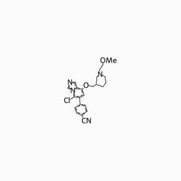 COCCN1CCCC(COc2cc(-c3ccc(C#N)cc3)c(Cl)n3cncc23)C1